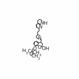 COC(C)(C)COc1cccc(C(CC(=O)O)CN2CCC(CCc3ccc4c(n3)NCCC4)C2)c1